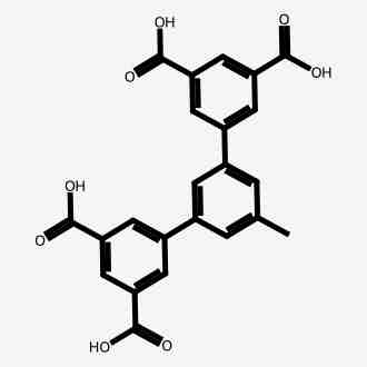 Cc1cc(-c2cc(C(=O)O)cc(C(=O)O)c2)cc(-c2cc(C(=O)O)cc(C(=O)O)c2)c1